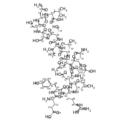 CC(C)C[C@H](NC(=O)[C@H](CC(N)=O)NC(=O)[C@H](CO)NC(=O)[C@H](CO)NC(=O)[C@H](CO)NC(=O)[C@@H](NC(=O)[C@H](CC(C)C)NC(=O)[C@H](CC(C)C)NC(=O)[C@H](CC(N)=O)NC(=O)[C@H](CC(=O)O)NC(=O)[C@H](CC(=O)O)NC(=O)[C@H](CC(C)C)NC(=O)[C@H](CCCNC(=N)N)NC(=O)[C@H](Cc1ccc(O)cc1)NC(=O)[C@@H](N)CCC(=O)O)C(C)C)C(=O)O